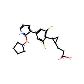 O=C(O)CCC1CC1c1c(F)cc(-c2cccnc2OC2CCCC2)cc1F